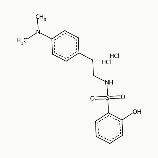 CN(C)c1ccc(CCNS(=O)(=O)c2ccccc2O)cc1.Cl.Cl